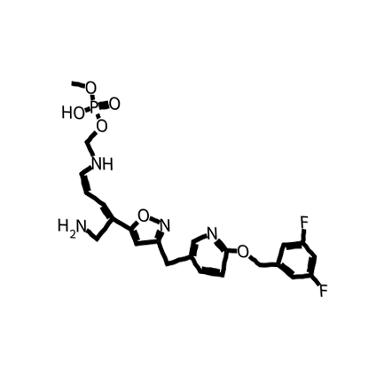 COP(=O)(O)OCN/C=C\C=C(/CN)c1cc(Cc2ccc(OCc3cc(F)cc(F)c3)nc2)no1